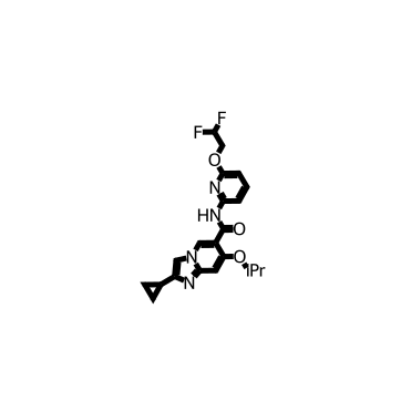 CC(C)Oc1cc2nc(C3CC3)cn2cc1C(=O)Nc1cccc(OCC(F)F)n1